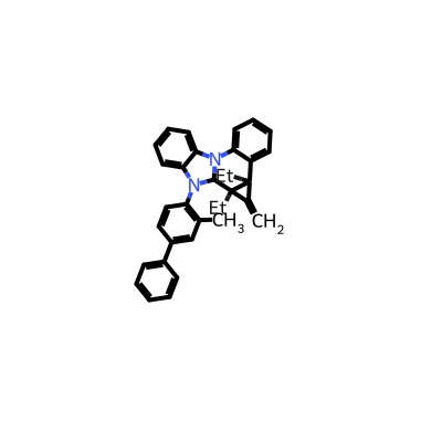 C=C1C2(CC)c3ccccc3N3c4ccccc4N(c4ccc(-c5ccccc5)cc4C)C3C12CC